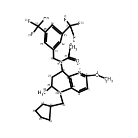 COc1ccc2c(n1)C(N(Cc1cc(C(F)(F)F)cc(C(F)(F)F)c1)C(C)=O)CC(C)N2CC1CCCC1